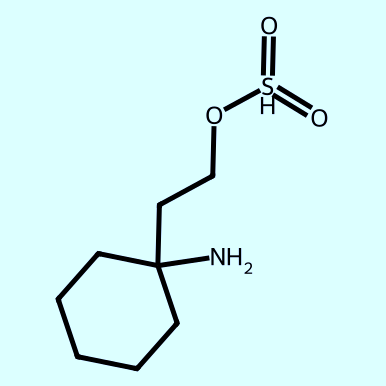 NC1(CCO[SH](=O)=O)CCCCC1